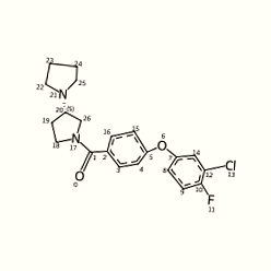 O=C(c1ccc(Oc2ccc(F)c(Cl)c2)cc1)N1CC[C@H](N2CCCC2)C1